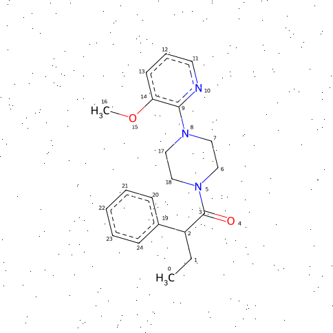 CCC(C(=O)N1CCN(c2ncccc2OC)CC1)c1ccccc1